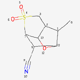 CC1C2CS(=O)(=O)C3C(C#N)C1OC23